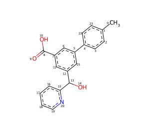 Cc1ccc(-c2cc(C(=O)O)cc(C(O)c3ccccn3)c2)cc1